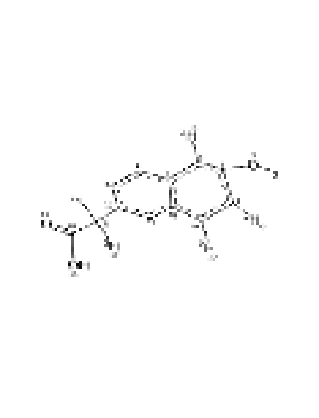 [2H]c1c(OC)c([2H])c2ccc(C([2H])(C)C(=O)O)cc2c1[2H]